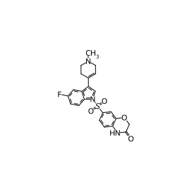 CN1CC=C(c2cn(S(=O)(=O)c3ccc4c(c3)OCC(=O)N4)c3ccc(F)cc23)CC1